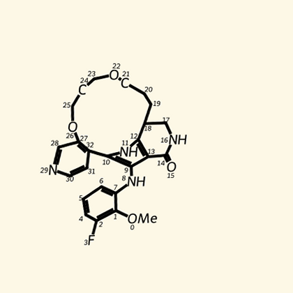 COc1c(F)cccc1Nc1c2[nH]c3c1C(=O)NCC3CCCOCCCOc1cnccc1-2